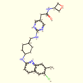 Cc1cc2nc(NC3CCC(CNc4ncc(CC(=O)NC5COC5)cn4)CC3)ccc2cc1Cl